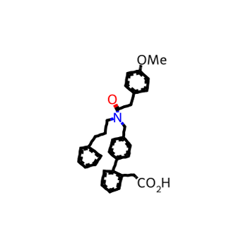 COc1ccc(CC(=O)N(CCCc2ccccc2)Cc2ccc(-c3ccccc3CC(=O)O)cc2)cc1